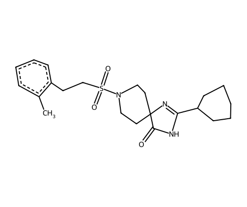 Cc1ccccc1CCS(=O)(=O)N1CCC2(CC1)N=C(C1CCCCC1)NC2=O